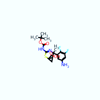 CC(C)(C)OC(=O)NC1=NC(C)(c2cc(N)cc(F)c2F)C2CC2(C(=O)O)S1